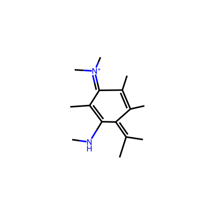 CNC1=C(C)C(=[N+](C)C)C(C)=C(C)C1=C(C)C